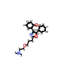 CN(C)CCOCCCc1nc2c(o1)-c1ccccc1Oc1ccccc1-2